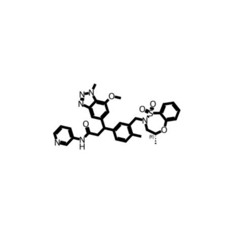 COc1cc(C(CC(=O)Nc2cccnc2)c2ccc(C)c(CN3C[C@@H](C)Oc4ccccc4S3(=O)=O)c2)cc2nnn(C)c12